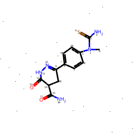 CN(C(N)=S)c1ccc(C2=NNC(=O)C(C(N)=O)C2)cc1